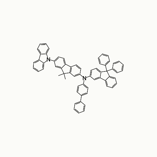 CC1(C)c2cc(N(c3ccc(-c4ccccc4)cc3)c3ccc4c(c3)-c3ccccc3C4(c3ccccc3)c3ccccc3)ccc2-c2ccc(-n3c4ccccc4c4ccccc43)cc21